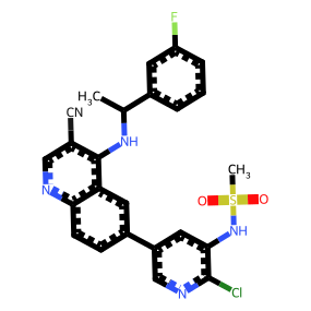 CC(Nc1c(C#N)cnc2ccc(-c3cnc(Cl)c(NS(C)(=O)=O)c3)cc12)c1cccc(F)c1